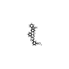 O=C(CN(CCOc1ccc2c3c([nH]c2c1)CCCC3)Cc1ccccc1)c1cccc([N+](=O)[O-])c1